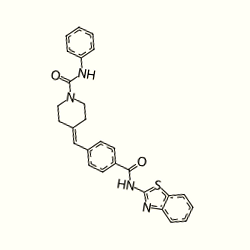 O=C(Nc1nc2ccccc2s1)c1ccc(C=C2CCN(C(=O)Nc3ccccc3)CC2)cc1